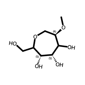 CO[C@@H]1COC(CO)[C@@H](O)[C@@H](O)C1O